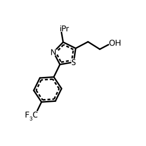 CC(C)c1nc(-c2ccc(C(F)(F)F)cc2)sc1CCO